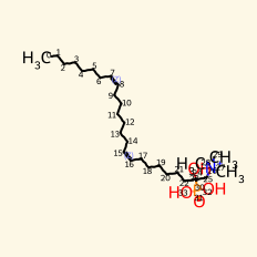 CCCCCCC/C=C\CCCCCC/C=C\CCCCCCC(O)(C[N+](C)(C)C)P(=O)(O)O